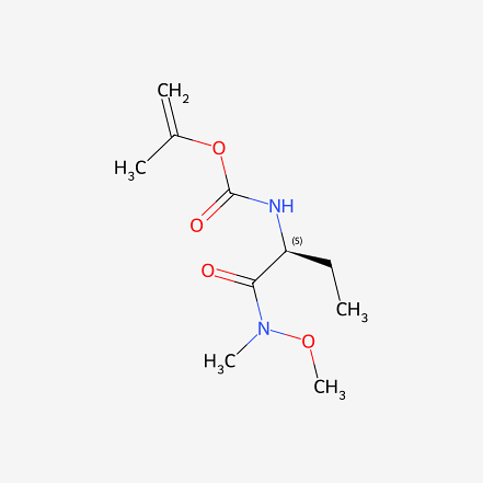 C=C(C)OC(=O)N[C@@H](CC)C(=O)N(C)OC